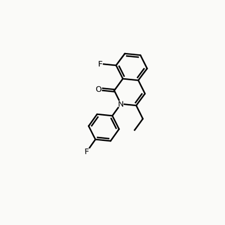 CCc1cc2cccc(F)c2c(=O)n1-c1ccc(F)cc1